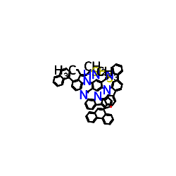 C=C(S)c1c(CC)c2c(-c3cccc4ccccc34)cccc2n1-c1c(C#N)c(-n2c3ccccc3c3ccccc32)c(-n2c3cc(-c4cc5ccccc5c5ccccc45)ccc3c3ccc4c5ccccc5sc4c32)c(C#N)c1NC